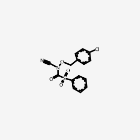 N#CN(OCc1ccc(Cl)cc1)C(=O)S(=O)(=O)c1ccccc1